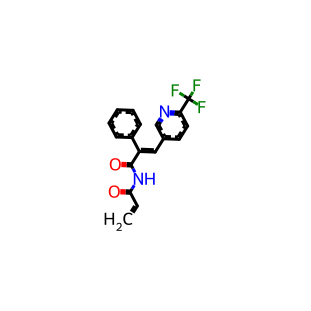 C=CC(=O)NC(=O)/C(=C/c1ccc(C(F)(F)F)nc1)c1ccccc1